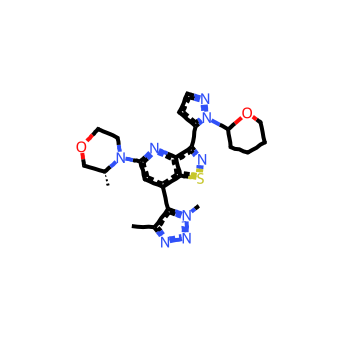 Cc1nnn(C)c1-c1cc(N2CCOC[C@H]2C)nc2c(-c3ccnn3C3CCCCO3)nsc12